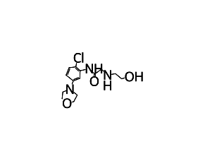 O=C(CNCCO)Nc1cc(N2CCOCC2)ccc1Cl